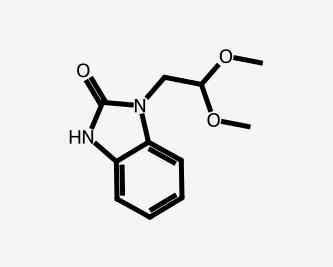 COC(Cn1c(=O)[nH]c2ccccc21)OC